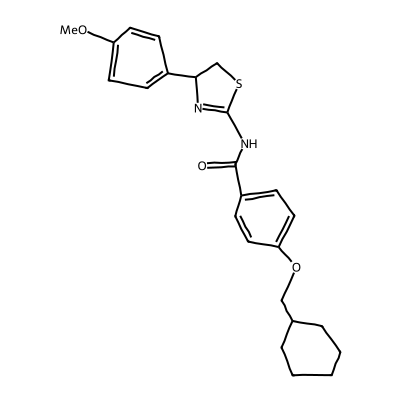 COc1ccc(C2CSC(NC(=O)c3ccc(OCC4CCCCC4)cc3)=N2)cc1